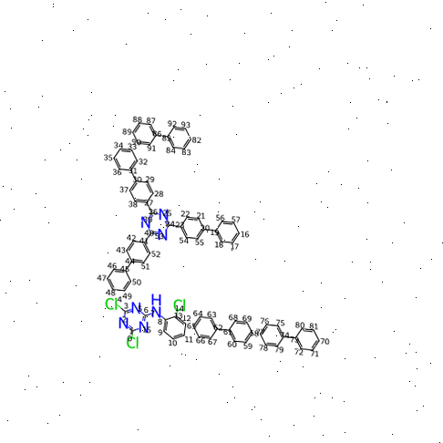 Clc1nc(Cl)nc(Nc2ccccc2Cl)n1.c1ccc(-c2ccc(-c3nc(-c4ccc(-c5ccccc5)cc4)nc(-c4ccc(-c5ccccc5)cc4)n3)cc2)cc1.c1ccc(-c2ccccc2)cc1.c1ccc(-c2ccccc2)cc1.c1ccc(-c2ccccc2)cc1